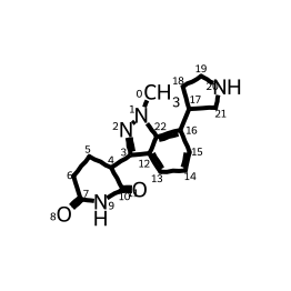 Cn1nc(C2CCC(=O)NC2=O)c2cccc(C3CCNC3)c21